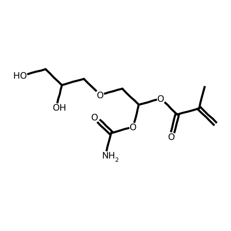 C=C(C)C(=O)OC(COCC(O)CO)OC(N)=O